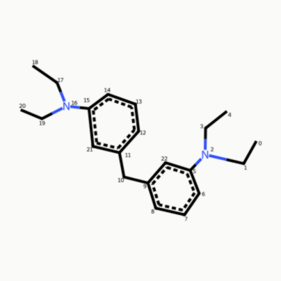 CCN(CC)c1cccc(Cc2cccc(N(CC)CC)c2)c1